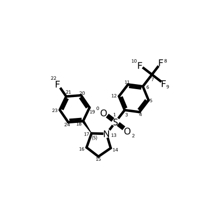 O=S(=O)(c1ccc(C(F)(F)F)cc1)N1CCC[C@H]1c1ccc(F)cc1